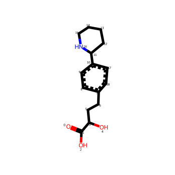 O=C(O)C(O)CCc1ccc(C2CCCCN2)cc1